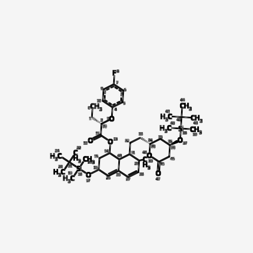 CC[C@H](Oc1ccc(F)cc1)C(=O)OC1CC(O[Si](C)(C)C(C)(C)C)C=C2C=CC(C)C(CC[C@@H]3C[C@@H](O[Si](C)(C)C(C)(C)C)CC(=O)O3)C21